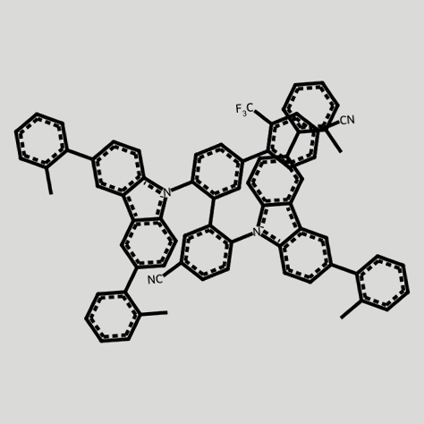 Cc1ccccc1-c1ccc2c(c1)c1cc(-c3ccccc3C)ccc1n2-c1ccc(C#N)cc1-c1cc(-c2ccc(C#N)cc2C(F)(F)F)ccc1-n1c2ccc(-c3ccccc3C)cc2c2cc(-c3ccccc3C)ccc21